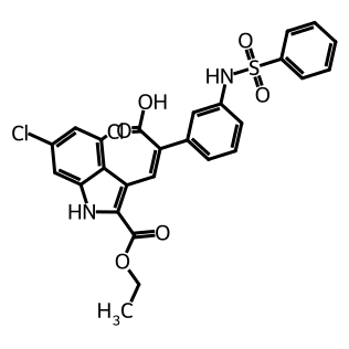 CCOC(=O)c1[nH]c2cc(Cl)cc(Cl)c2c1C=C(C(=O)O)c1cccc(NS(=O)(=O)c2ccccc2)c1